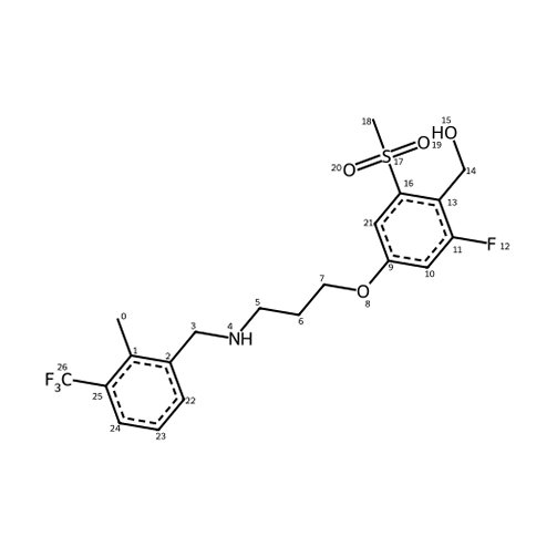 Cc1c(CNCCCOc2cc(F)c(CO)c(S(C)(=O)=O)c2)cccc1C(F)(F)F